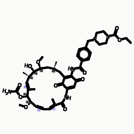 CCOC(=O)N1CCN(Cc2ccc(C(=O)NC3=C4C[C@@H](C)C[C@H](OC)[C@H](O)[C@@H](C)/C=C(\C)[C@H](OC(N)=O)[C@@H](OC)/C=C\C=C(/C)C(=O)NC(=CC3=O)C4=O)cc2)CC1